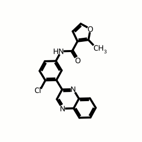 Cc1occc1C(=O)Nc1ccc(Cl)c(-c2cnc3ccccc3n2)c1